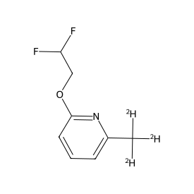 [2H]C([2H])([2H])c1cccc(OCC(F)F)n1